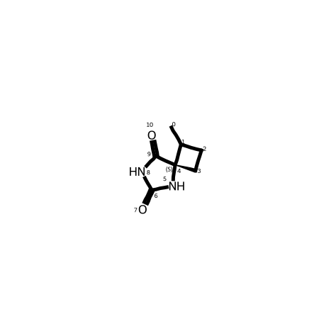 CC1CC[C@]12NC(=O)NC2=O